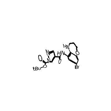 CC(C)(C)OC(=O)n1cc(C(=O)Nc2cc(Br)cc3c2NCCCO3)cn1